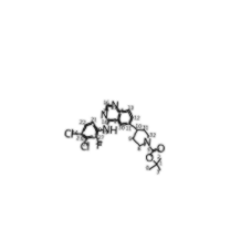 CC(C)(C)OC(=O)N1CCC(c2ccc3ncnc(Nc4ccc(Cl)c(Cl)c4F)c3c2)CC1